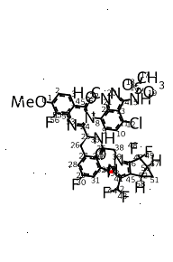 COc1ccc2c(=O)n(-c3ccc(Cl)c4c(NS(C)(=O)=O)nn(C)c34)c([C@H](Cc3cc(F)cc(F)c3)NC(=O)Cn3nc(C(F)F)c4c3C(F)(F)[C@@H]3C[C@H]43)nc2c1F